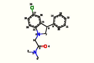 CN(C)C(=O)CN1CC(c2ccccc2)c2cc(Cl)ccc21